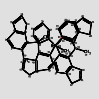 Cc1ccc2c(c1N(C)c1c([PH](C)(c3ccccc3)c3ccc4c(c3N(C)c3c(Pc5ccccc5)ccc5c3C=CC5)CC=C4)ccc3c1C=CC3)CC=C2